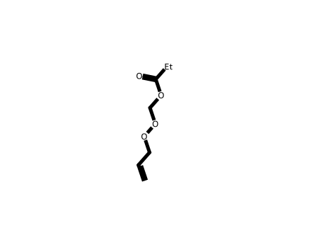 C=CCOOCOC(=O)CC